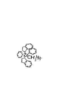 [CH3][Zr]([c]1ccccc1)([c]1ccccc1)([CH]1C=Cc2ccccc21)[CH]1C=Cc2ccccc21.[H-].[H-]